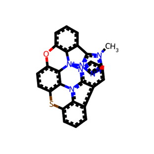 Cn1c2[n+](c3cncnc31)[N+]13c4c(cccc4-2)Oc2ccc4c(c21)-n1c2c(cccc2c2ccc[n+]3c21)S4